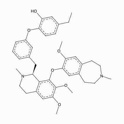 CCc1ccc(Oc2cccc(C[C@H]3c4c(cc(OC)c(OC)c4Oc4cc5c(cc4OC)CCN(C)CC5)CCN3C)c2)c(O)c1